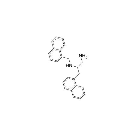 NCC(Cc1cccc2ccccc12)NCc1cccc2ccccc12